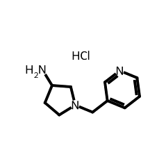 Cl.NC1CCN(Cc2cccnc2)C1